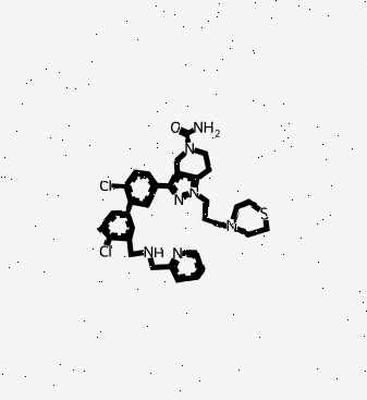 NC(=O)N1CCc2c(c(-c3ccc(Cl)c(-c4ccc(Cl)c(CNCc5ccccn5)c4)c3)nn2CCCN2CCSCC2)C1